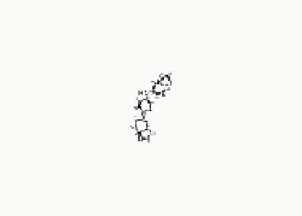 c1nc2cc(-c3ccc(Nc4ccc5ncoc5c4)cc3)ccc2o1